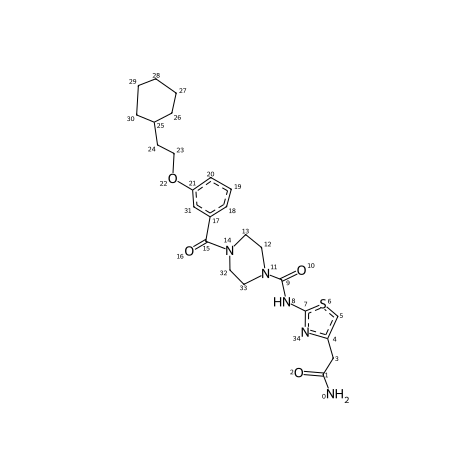 NC(=O)Cc1csc(NC(=O)N2CCN(C(=O)c3cccc(OCCC4CCCCC4)c3)CC2)n1